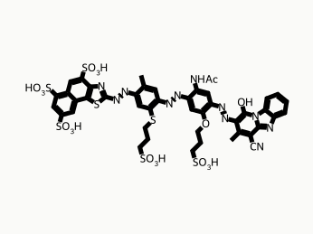 CC(=O)Nc1cc(N=Nc2c(C)c(C#N)c3nc4ccccc4n3c2O)c(OCCCS(=O)(=O)O)cc1N=Nc1cc(C)c(N=Nc2nc3c(S(=O)(=O)O)cc4c(S(=O)(=O)O)cc(S(=O)(=O)O)cc4c3s2)cc1SCCCS(=O)(=O)O